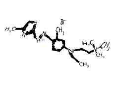 CCN(CC[N+](C)(C)C)c1ccc(/N=N/c2nc(C)cs2)c(C)c1.[Br-]